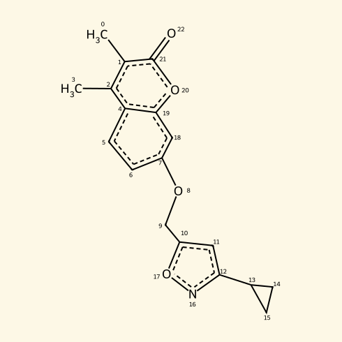 Cc1c(C)c2ccc(OCc3cc(C4CC4)no3)cc2oc1=O